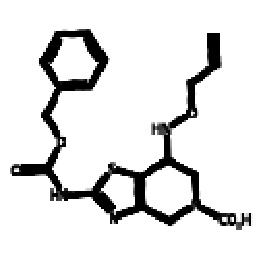 C=CCONC1CN(C(=O)O)Cc2nc(NC(=O)OCc3ccccc3)sc21